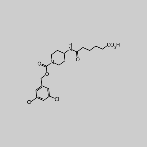 O=C(O)CCCCC(=O)NC1CCN(C(=O)OCc2cc(Cl)cc(Cl)c2)CC1